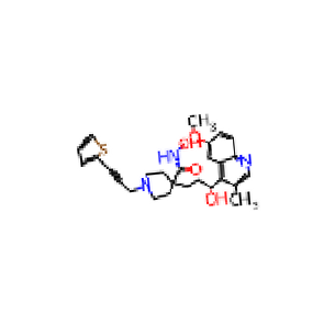 COc1ccc2ncc(C)c([C@H](O)CCC3(C(=O)NO)CCN(CC#Cc4cccs4)CC3)c2c1